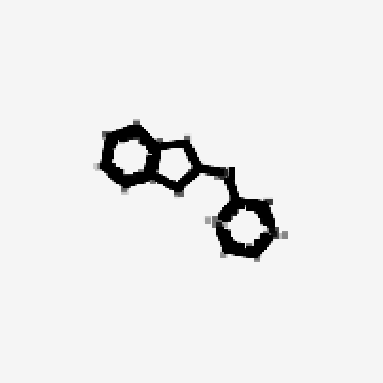 [c]1cnc(NC2Cc3ccccc3C2)cn1